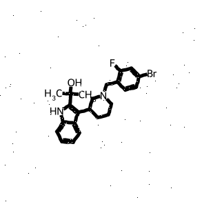 CC(C)(O)c1[nH]c2ccccc2c1C1CCCN(Cc2ccc(Br)cc2F)C1